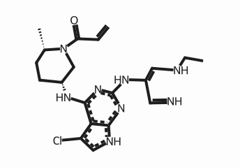 C=CC(=O)N1C[C@H](Nc2nc(N/C(C=N)=C/NCC)nc3[nH]cc(Cl)c23)CC[C@@H]1C